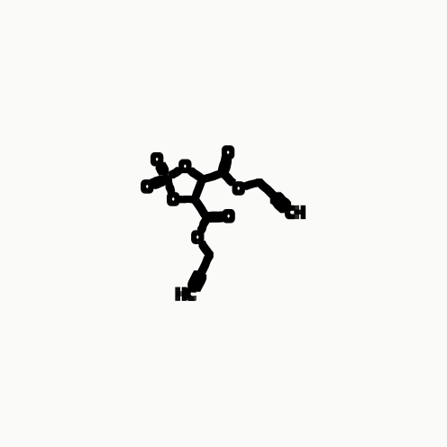 C#CCOC(=O)C1OS(=O)(=O)OC1C(=O)OCC#C